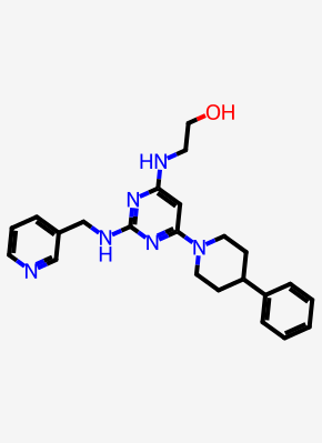 OCCNc1cc(N2CCC(c3ccccc3)CC2)nc(NCc2cccnc2)n1